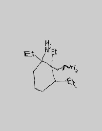 CCC1CCCC(N)(CC)C1(N)CC